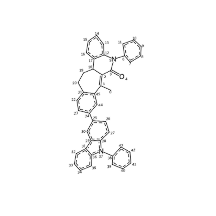 CC1=C2C(=O)N(c3ccccc3)c3ccccc3C2CCc2ccc(-c3ccc4c(c3)c3ccccc3n4-c3ccccc3)cc21